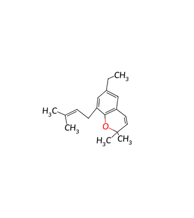 CCc1cc2c(c(CC=C(C)C)c1)OC(C)(C)C=C2